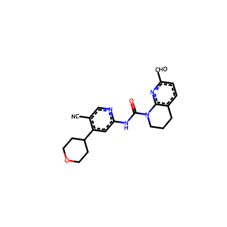 N#Cc1cnc(NC(=O)N2CCCc3ccc(C=O)nc32)cc1C1CCOCC1